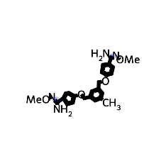 CO/N=C(\N)c1ccc(OCc2cc(C)cc(COc3ccc(/C(N)=N\OC)cc3)c2)cc1